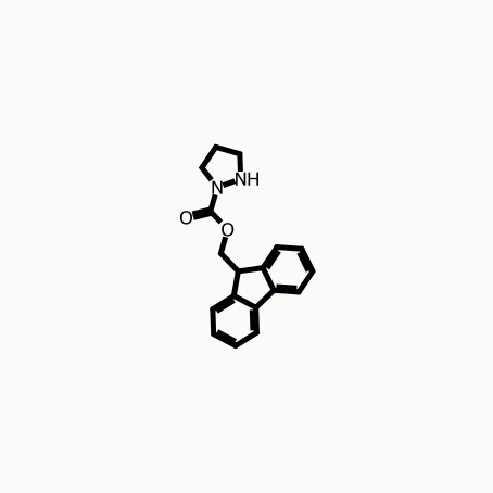 O=C(OCC1c2ccccc2-c2ccccc21)N1CCCN1